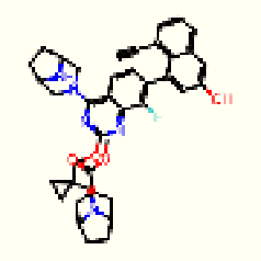 C#Cc1cccc2cc(O)cc(-c3ccc4c(N5CC6CCC(C5)N6)nc(OCC5(CN6C7CCC6CC(C(=O)OC)C7)CC5)nc4c3F)c12